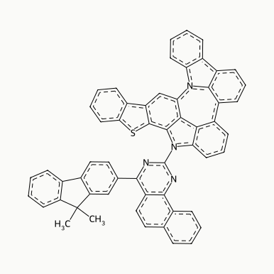 CC1(C)c2ccccc2-c2ccc(-c3nc(-n4c5cccc6c7cccc8c9ccccc9n(c9cc%10c%11ccccc%11sc%10c4c9c65)c78)nc4c3ccc3ccccc34)cc21